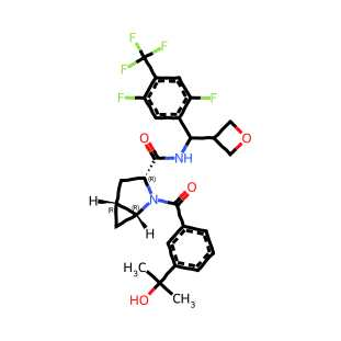 CC(C)(O)c1cccc(C(=O)N2[C@@H](C(=O)NC(c3cc(F)c(C(F)(F)F)cc3F)C3COC3)C[C@H]3C[C@H]32)c1